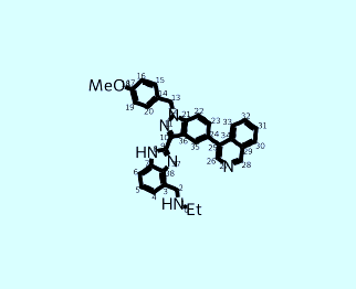 CCNCc1cccc2[nH]c(-c3nn(Cc4ccc(OC)cc4)c4ccc(-c5cncc6ccccc56)cc34)nc12